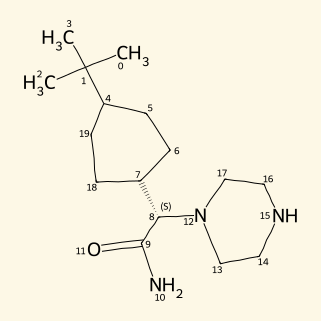 CC(C)(C)C1CCC([C@@H](C(N)=O)N2CCNCC2)CC1